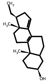 CC[C@H]1CC=C2C3=C(CC[C@@]21C)[C@@]1(C)CC[C@H](O)CC1CC3